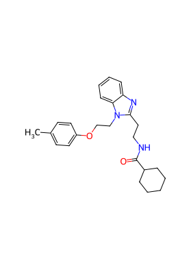 Cc1ccc(OCCn2c(CCNC(=O)C3CCCCC3)nc3ccccc32)cc1